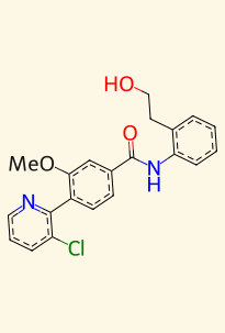 COc1cc(C(=O)Nc2ccccc2CCO)ccc1-c1ncccc1Cl